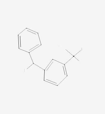 FC(c1[c]ccc(C(F)(C(F)(F)F)C(F)(F)F)c1)c1ccccc1